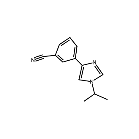 CC(C)n1cnc(-c2cccc(C#N)c2)c1